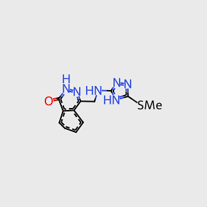 CSc1nnc(NCc2n[nH]c(=O)c3ccccc23)[nH]1